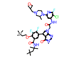 CC1CN(CC2COC2)CCN1c1cc(NC(=O)Cn2cc(-c3cc(C(=O)NC(C)(C)CC(C)(C)C)c(OCC[Si](C)(C)C)c(F)c3F)c3c(=O)n(C)cnc32)c(Cl)c(F)n1